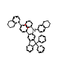 c1ccc(N(c2ccc3c(c2)CCCC3)c2cc3c(cc2-c2ccc(-c4cccc5c4CCCC5)cc2)-c2ccccc2C3(c2ccccc2)c2ccccc2)cc1